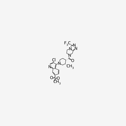 C[C@@H]1CN(c2c(Cl)cnc3cc(S(C)(=O)=O)ccc23)CC[C@@H]1C(=O)N1CCn2c(nnc2C(F)(F)F)C1